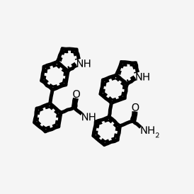 NC(=O)c1ccccc1-c1ccc2cc[nH]c2c1.NC(=O)c1ccccc1-c1ccc2cc[nH]c2c1